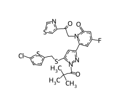 CC(C)(C)C(=O)n1nc(-c2cc(F)cc(=O)n2CC(=O)c2cscn2)cc1SCc1ccc(Cl)s1